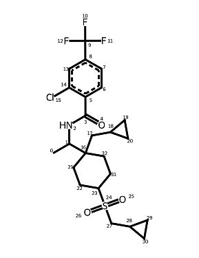 CC(NC(=O)c1ccc(C(F)(F)F)cc1Cl)C1(CC2CC2)CCC(S(=O)(=O)CC2CC2)CC1